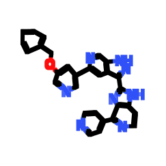 c1ccc(COc2cncc(-c3cc4c(-c5nc6c(-c7ccncc7)nccc6[nH]5)n[nH]c4cn3)c2)cc1